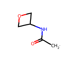 [CH2]C(=O)NC1COC1